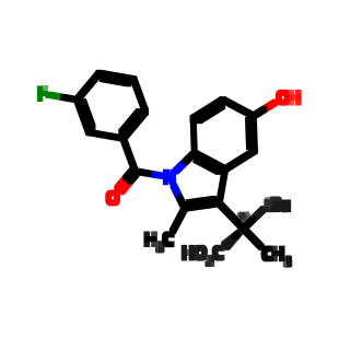 Cc1c([C@](C)(C(=O)O)C(C)(C)C)c2cc(O)ccc2n1C(=O)c1cccc(F)c1